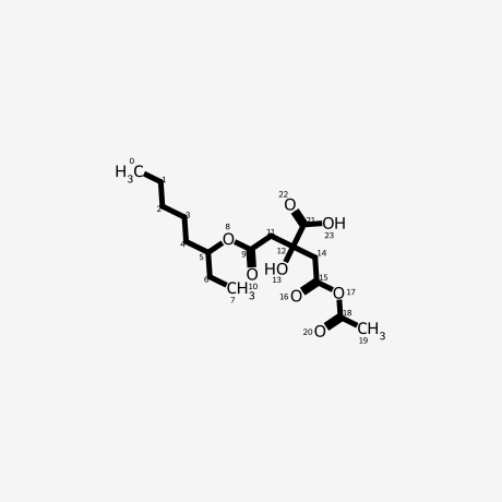 CCCCCC(CC)OC(=O)CC(O)(CC(=O)OC(C)=O)C(=O)O